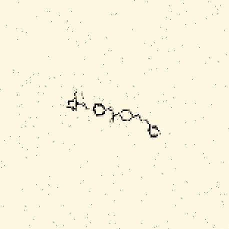 Cn1ccnc1SCc1ccc(OC(=O)N2CCN(CCCc3cccnc3)CC2)cc1